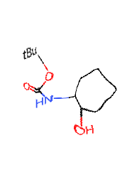 CC(C)(C)OC(=O)NC1CCCCC1O